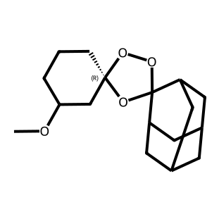 COC1CCC[C@]2(C1)OOC1(O2)C2CC3CC(C2)CC1C3